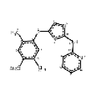 COc1cc(C)c(Sc2cnc(Nc3ccccn3)s2)cc1C